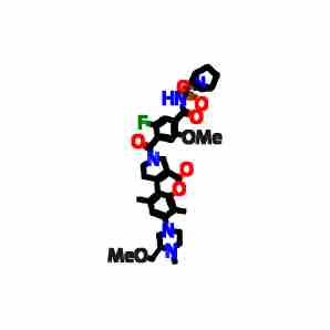 COC[C@H]1CN(c2cc(C)c3c4c(c(=O)oc3c2C)CN(C(=O)c2cc(OC)c(C(=O)NS(=O)(=O)N3C5CCC3CC5)cc2F)CC4)CCN1C